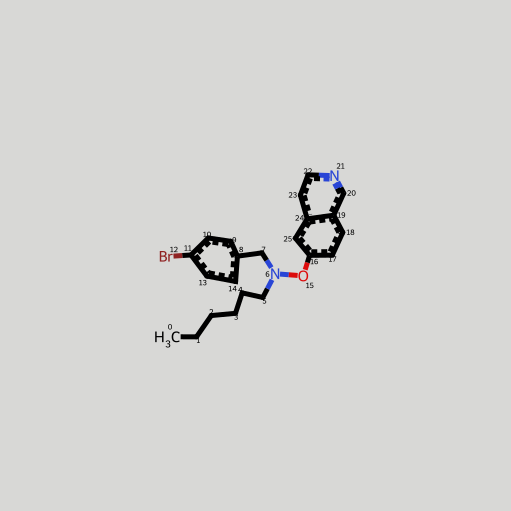 CCCCCCN(Cc1ccc(Br)cc1)Oc1ccc2cnccc2c1